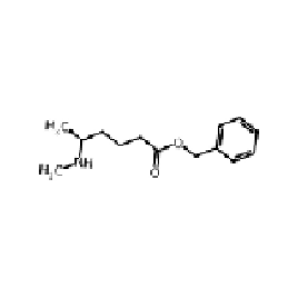 CN[C@@H](C)CCCC(=O)OCc1ccccc1